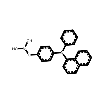 OB(O)Oc1ccc(N(c2ccccc2)c2cccc3ccccc23)cc1